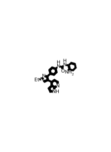 CCn1cc(-c2ccnc3[nH]ccc23)c(-c2ccc(NC(=O)NC3=C(N)CCC=C3)cc2)n1